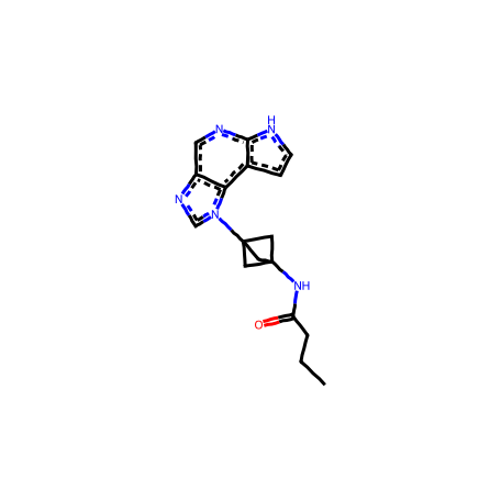 CCCC(=O)NC12CC(n3cnc4cnc5[nH]ccc5c43)(C1)C2